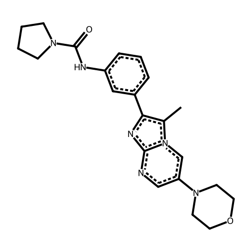 Cc1c(-c2cccc(NC(=O)N3CCCC3)c2)nc2ncc(N3CCOCC3)cn12